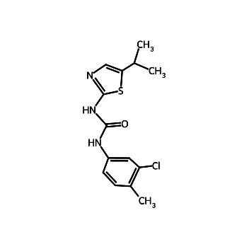 Cc1ccc(NC(=O)Nc2ncc(C(C)C)s2)cc1Cl